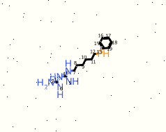 N=C(N)NC(=N)NCCCCCCPc1ccccc1